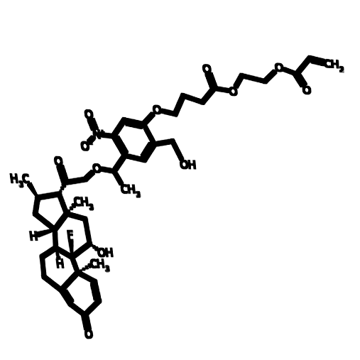 C=CC(=O)OCCOC(=O)CCCOc1cc([N+](=O)[O-])c(C(C)OCC(=O)[C@H]2[C@H](C)C[C@H]3[C@@H]4CCC5=CC(=O)C=C[C@]5(C)[C@@]4(F)[C@@H](O)C[C@@]32C)cc1CO